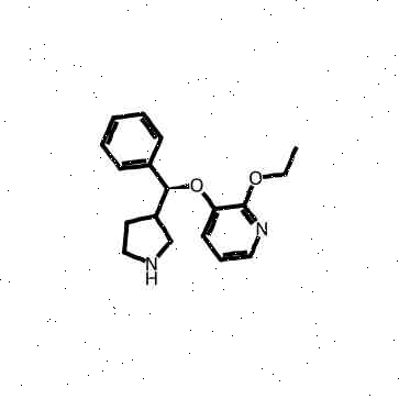 CCOc1ncccc1O[C@H](c1ccccc1)C1CCNC1